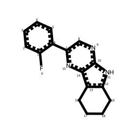 Fc1ccccc1-c1cnc2[nH]c3c(c2n1)CCCC3